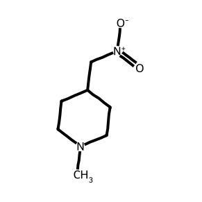 CN1CCC(C[N+](=O)[O-])CC1